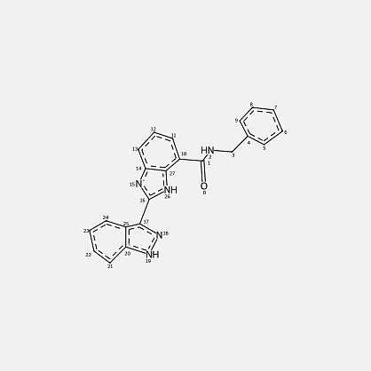 O=C(NCc1ccccc1)c1cccc2nc(-c3n[nH]c4ccccc34)[nH]c12